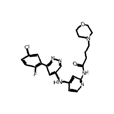 O=C(CCCN1CCOCC1)Nc1cc(Nc2cnnc(-c3cc(Cl)ccc3F)c2)ccn1